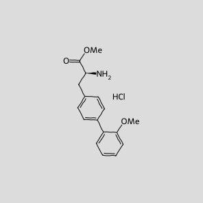 COC(=O)[C@@H](N)Cc1ccc(-c2ccccc2OC)cc1.Cl